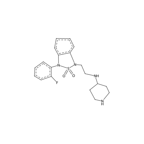 O=S1(=O)N(CCNC2CCNCC2)c2ccccc2N1c1ccccc1F